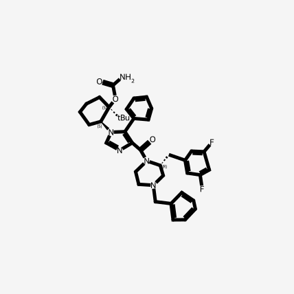 CC(C)(C)[C@@]1(OC(N)=O)CCCC[C@@H]1n1cnc(C(=O)N2CCN(Cc3ccccc3)C[C@H]2Cc2cc(F)cc(F)c2)c1-c1ccccc1